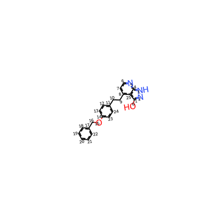 Oc1n[nH]c2nccc(CCc3ccc(OCc4ccccc4)cc3)c12